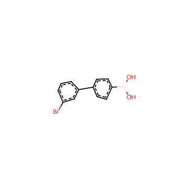 OB(O)c1ccc(-c2cccc(Br)c2)cc1